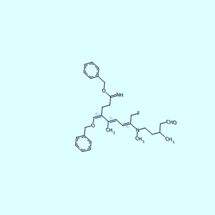 CC(=C\C=C(/CF)N(C)CCC(C)CC=O)/C(=C\OCc1ccccc1)CCC(=N)OCc1ccccc1